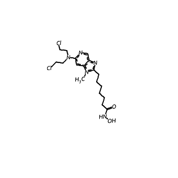 Cn1c(CCCCCCC(=O)NO)nc2cnc(N(CCCl)CCCl)cc21